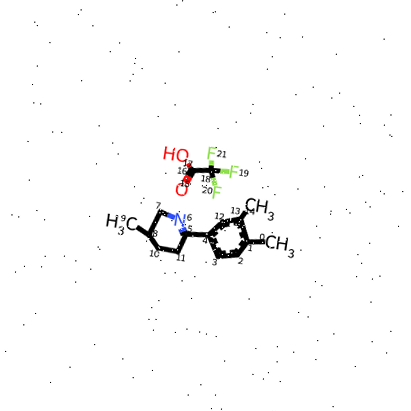 Cc1ccc(C2=NCC(C)CC2)cc1C.O=C(O)C(F)(F)F